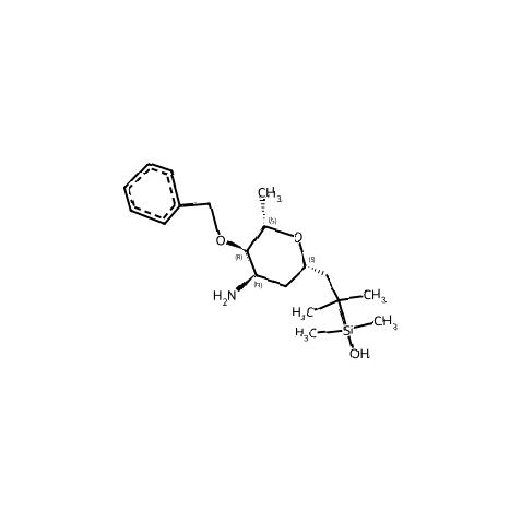 C[C@@H]1O[C@H](CC(C)(C)[Si](C)(C)O)C[C@@H](N)[C@H]1OCc1ccccc1